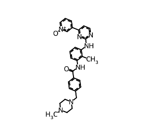 Cc1c(NC(=O)c2ccc(CN3CCN(C)CC3)cc2)cccc1Nc1nccc(-c2ccc[n+]([O-])c2)n1